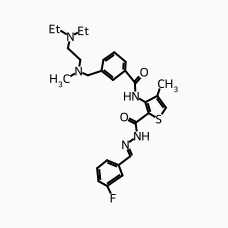 CCN(CC)CCN(C)Cc1cccc(C(=O)Nc2c(C)csc2C(=O)NN=Cc2cccc(F)c2)c1